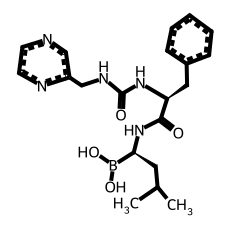 CC(C)C[C@H](NC(=O)[C@H](Cc1ccccc1)NC(=O)NCc1cnccn1)B(O)O